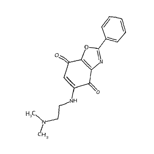 CN(C)CCNC1=CC(=O)c2oc(-c3ccccc3)nc2C1=O